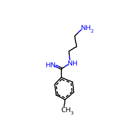 Cc1ccc(C(=N)NCCCN)cc1